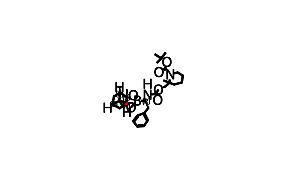 CC(C)(C)OC(=O)N1CCCCC1(C)COC(=O)N[C@@H](Cc1ccccc1)B1O[C@@H]2C[C@@H]3C[C@@H](C3(C)C)[C@]2(C)O1